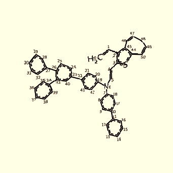 C=Cc1c(/C=C/N(c2ccc(-c3ccccc3)cc2)c2ccc(-c3ccc(-c4ccccc4)c(-c4ccccc4)c3)cc2)sc2c1C=CCC=C2